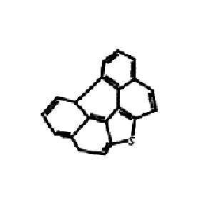 C1=CC2C3=c4c(sc5ccc6cccc2c6c45)=CCC3=C1